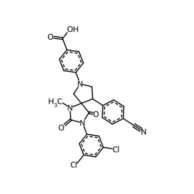 CN1C(=O)N(c2cc(Cl)cc(Cl)c2)C(=O)C12CN(c1ccc(C(=O)O)cc1)CC2c1ccc(C#N)cc1